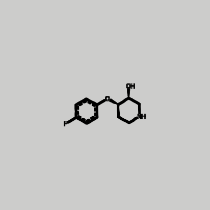 O[C@H]1CNCC[C@H]1Oc1ccc(F)cc1